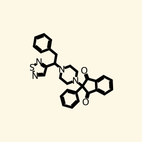 O=C1c2ccccc2C(=O)C1(c1ccccc1)N1CCN(C(Cc2ccccc2)c2cnsn2)CC1